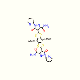 COc1c2c(c(OC)c3c1SC(=C1C(=O)N(c4ccccn4)N=C1C(N)=O)S3)SC(=C1C(=O)N(c3ccccn3)N=C1C(N)=O)S2